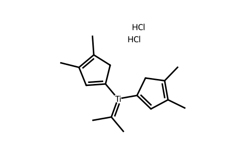 CC1=C(C)C[C]([Ti]([C]2=CC(C)=C(C)C2)=[C](C)C)=C1.Cl.Cl